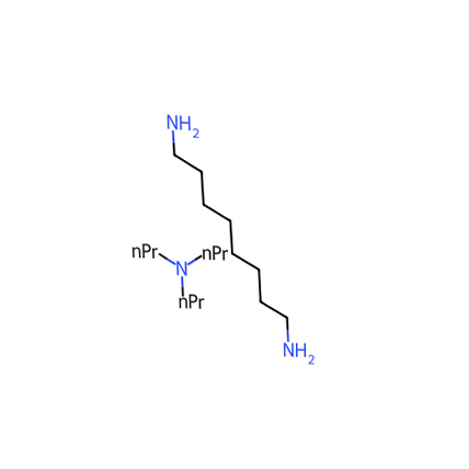 CCCN(CCC)CCC.NCCCCCCCCN